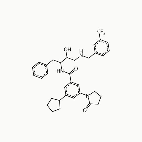 O=C(NC(Cc1ccccc1)C(O)CNCc1cccc(C(F)(F)F)c1)c1cc(C2CCCC2)cc(N2CCCC2=O)c1